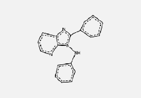 c1ccc(Nn2c(-c3ccccc3)nc3cccnc32)cc1